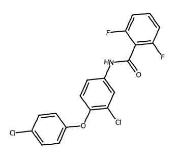 O=C(Nc1ccc(Oc2ccc(Cl)cc2)c(Cl)c1)c1c(F)cccc1F